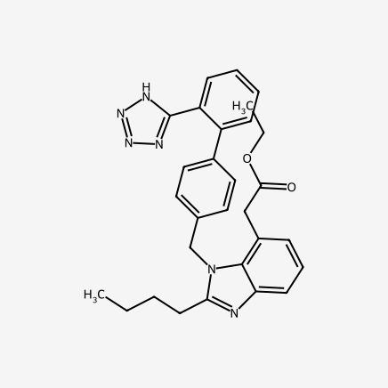 CCCCc1nc2cccc(CC(=O)OCC)c2n1Cc1ccc(-c2ccccc2-c2nnn[nH]2)cc1